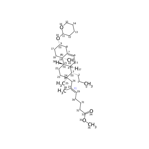 CCC[C@H]1[C@@H]2CC=C3C[C@@H](OC4CCCCO4)CC[C@]3(C)[C@H]2CC[C@]1(C)C/C(C)=C/CCCC(=O)OC